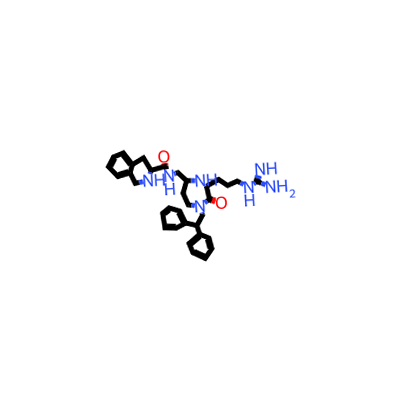 N=C(N)NCCCC1NC(CNC(=O)C2Cc3ccccc3CN2)CCN(CC(c2ccccc2)c2ccccc2)C1=O